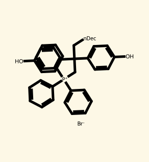 CCCCCCCCCCCC(C[P+](c1ccccc1)(c1ccccc1)c1ccccc1)(c1ccc(O)cc1)c1ccc(O)cc1.[Br-]